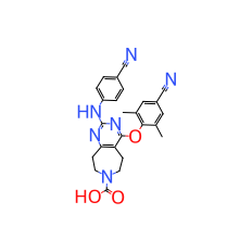 Cc1cc(C#N)cc(C)c1Oc1nc(Nc2ccc(C#N)cc2)nc2c1CCN(C(=O)O)CC2